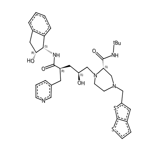 CC(C)(C)NC(=O)[C@@H]1CN(Cc2cc3ccsc3s2)CCN1C[C@@H](O)C[C@@H](Cc1cccnc1)C(=O)N[C@H]1c2ccccc2C[C@H]1O